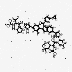 COC(=O)N[C@H](C(=O)N1CCC[C@H]1c1ncc(-c2cc(F)c3c(c2)O[C@@H](c2ccc(C4CC4)s2)n2c-3cc3cc(-c4cnc([C@@H]5CS(C)(C)CN5C(=O)[C@@H](NC(=O)OC)[C@@H]5CCOC(C)(C)C5)[nH]4)ccc32)[nH]1)C(C)C